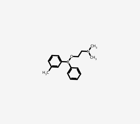 Cc1cccc(B(OCCN(C)C)c2ccccc2)c1